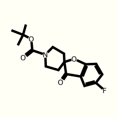 CC(C)(C)OC(=O)N1CCC2(CC1)Oc1ccc(F)cc1C2=O